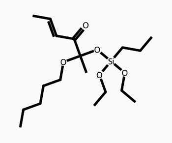 CC=CC(=O)C(C)(OCCCCC)O[Si](CCC)(OCC)OCC